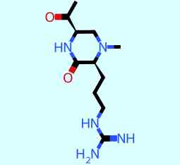 CC(=O)[C@H]1CN(C)[C@@H](CCCNC(=N)N)C(=O)N1